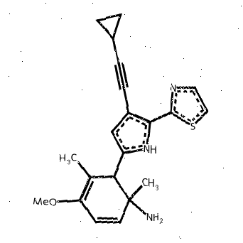 COC1=C(C)C(c2cc(C#CC3CC3)c(-c3nccs3)[nH]2)C(C)(N)C=C1